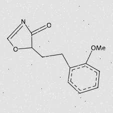 COc1ccccc1CCC1OC=NC1=O